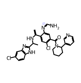 C=C(NC(C)c1nc2cc(Cl)ccc2[nH]1)c1cc(Cl)c(C(=O)N2CCCCC2c2cccnc2)cc1/N=C\N